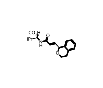 CC(C)[C@H](NC(=O)/C=C/[C@@H]1OCCc2ccccc21)C(=O)O